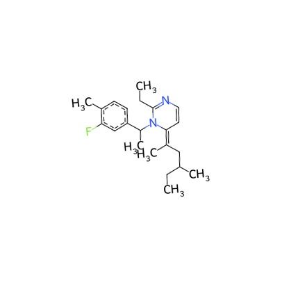 CCC1=NC=C/C(=C(/C)CC(C)CC)N1C(C)c1ccc(C)c(F)c1